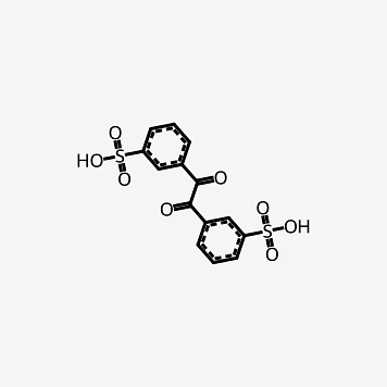 O=C(C(=O)c1cccc(S(=O)(=O)O)c1)c1cccc(S(=O)(=O)O)c1